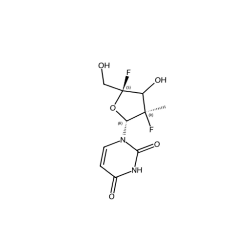 C[C@@]1(F)C(O)[C@@](F)(CO)O[C@H]1n1ccc(=O)[nH]c1=O